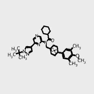 COc1c(C)cc(C23CCC(CN(C(=O)C4CCCCC4)c4cncc(-c5cnn(C(C)(C)C)c5)n4)(CC2)CC3)cc1C